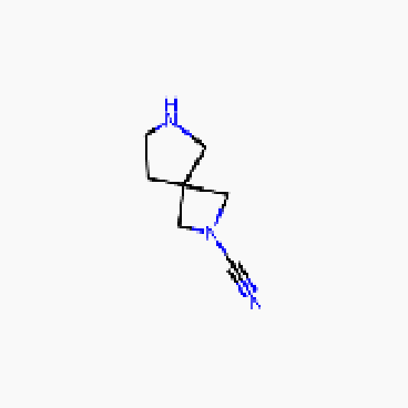 N#CN1CC2(CCNC2)C1